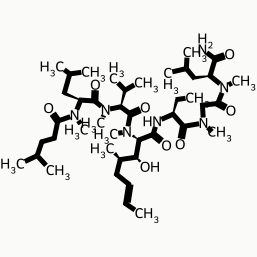 C/C=C/C[C@@H](C)[C@@H](O)[C@@H](C(=O)N[C@@H](CC)C(=O)N(C)CC(=O)N(C)[C@@H](CC(C)C)C(N)=O)N(C)C(=O)[C@H](C(C)C)N(C)C(=O)[C@H](CC(C)C)N(C)C(=O)CCC(C)C